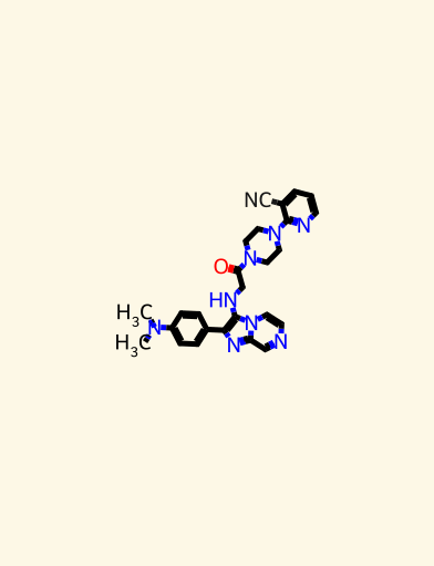 CN(C)c1ccc(-c2nc3cnccn3c2NCC(=O)N2CCN(c3ncccc3C#N)CC2)cc1